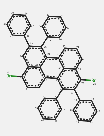 Brc1ccc2c3c(-c4ccccc4)c(-c4ccccc4)c(Br)c4cccc(c5c(-c6ccccc6)c(-c6ccccc6)cc1c25)c43